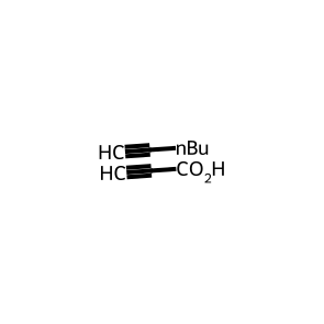 C#CC(=O)O.C#CCCCC